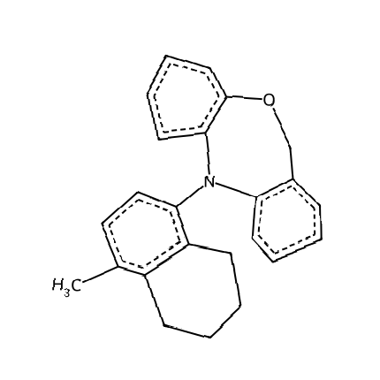 Cc1ccc(N2c3ccccc3COc3ccccc32)c2c1CCCC2